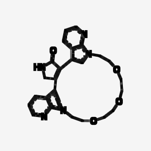 O=C1NCC2=C1c1cn(c3ncccc13)CCOCCOCCOCCn1cc2c2cccnc21